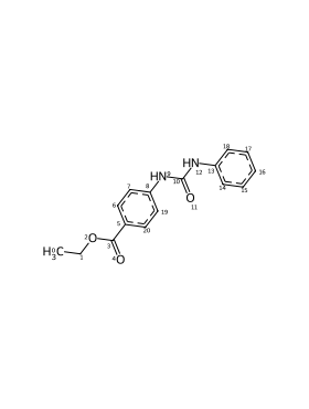 CCOC(=O)c1ccc(NC(=O)Nc2ccccc2)cc1